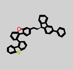 c1ccc(-c2ccc3c(c2)-c2ccccc2[C@@H]3CCc2ccc3c(c2)oc2cccc(-c4cccc5sc6ccccc6c45)c23)cc1